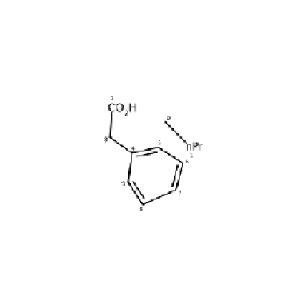 CCCC.O=C(O)Cc1ccccc1